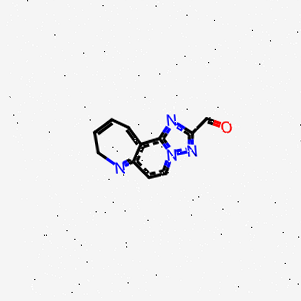 O=Cc1nc2c3c(ccn2n1)=NCC=CC=3